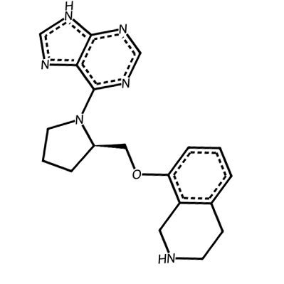 c1cc2c(c(OC[C@H]3CCCN3c3ncnc4[nH]cnc34)c1)CNCC2